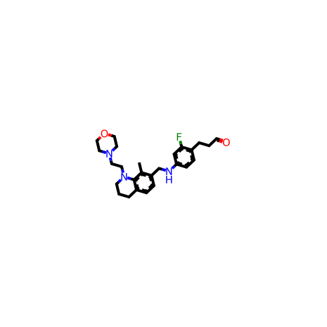 Cc1c(CNc2ccc(CCC=O)c(F)c2)ccc2c1N(CCN1CCOCC1)CCC2